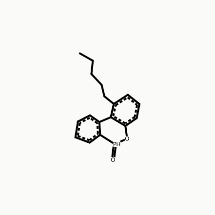 CCCCCc1cccc2c1-c1ccccc1[PH](=O)O2